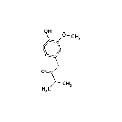 COc1cc(CC(=O)C(C)C)ccc1O